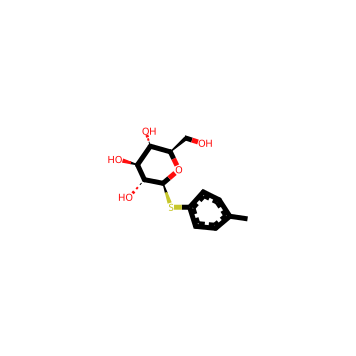 Cc1ccc(S[C@@H]2O[C@H](CO)[C@@H](O)[C@H](O)[C@H]2O)cc1